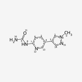 Cn1cc(-c2ccc(NC(N)=O)nc2)cn1